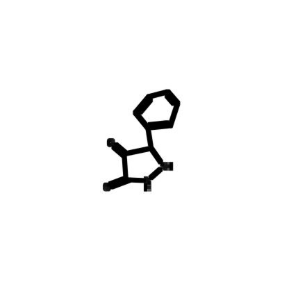 O=C1NNC(c2ccccc2)C1=O